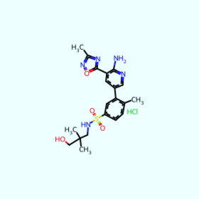 Cc1noc(-c2cc(-c3cc(S(=O)(=O)NCC(C)(C)CO)ccc3C)cnc2N)n1.Cl